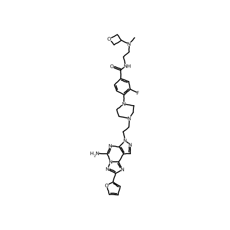 CN(CCNC(=O)c1ccc(N2CCN(CCn3ncc4c3nc(N)n3nc(-c5ccco5)nc43)CC2)c(F)c1)C1COC1